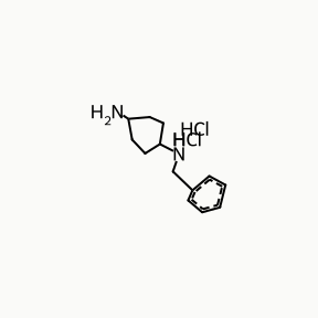 Cl.Cl.NC1CCC(NCc2ccccc2)CC1